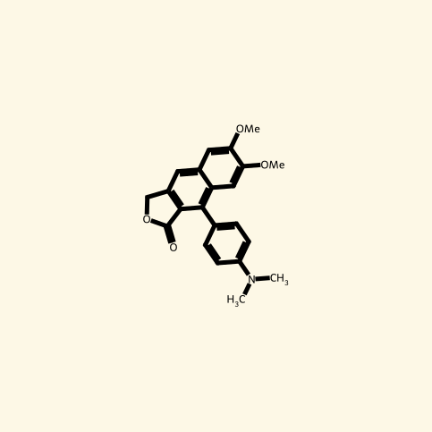 COc1cc2cc3c(c(-c4ccc(N(C)C)cc4)c2cc1OC)C(=O)OC3